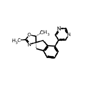 CC1=N[C@@]2(Cc3cccc(-c4cncnc4)c3C2)[C@@H](C)O1